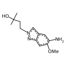 COc1cc2nn(CCC(C)(C)O)cc2cc1N